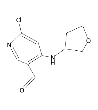 O=Cc1cnc(Cl)cc1NC1CCOC1